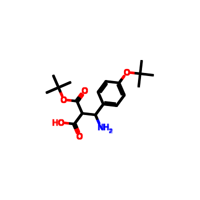 CC(C)(C)OC(=O)C(C(=O)O)C(N)c1ccc(OC(C)(C)C)cc1